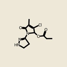 CCC(=O)OC1C(Cl)=C(C)C(=O)N1C1=NNCC1